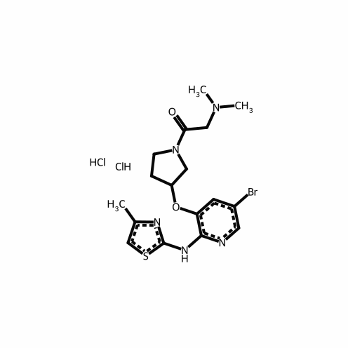 Cc1csc(Nc2ncc(Br)cc2OC2CCN(C(=O)CN(C)C)C2)n1.Cl.Cl